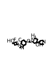 C[C@H]1C[C@@](O)(c2ccncc2)C[C@@H](COc2cc(C(F)(F)F)c3c(c2)ncn3C2CC(C)(O)C2)N1